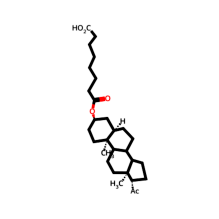 CC(=O)[C@H]1CCC2C3CC[C@@H]4C[C@H](OC(=O)CCCCCCC(=O)O)CC[C@]4(C)C3CC[C@@]21C